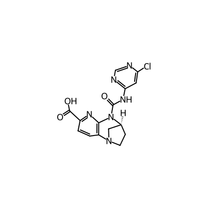 O=C(O)c1ccc2c(n1)N(C(=O)Nc1cc(Cl)ncn1)[C@H]1CCN2C1